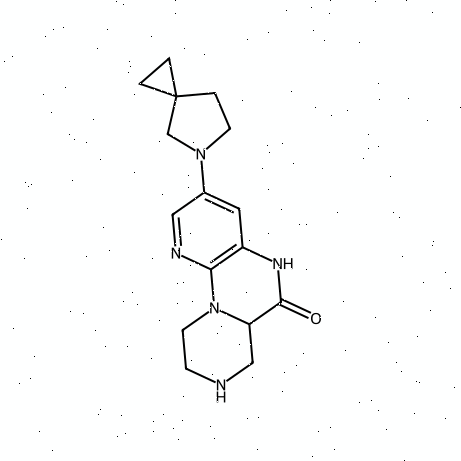 O=C1Nc2cc(N3CCC4(CC4)C3)cnc2N2CCNCC12